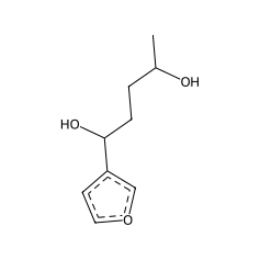 CC(O)CCC(O)c1ccoc1